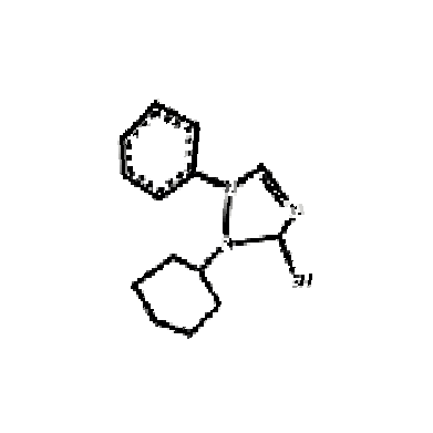 SC1N=CN(c2ccccc2)N1C1CCCCC1